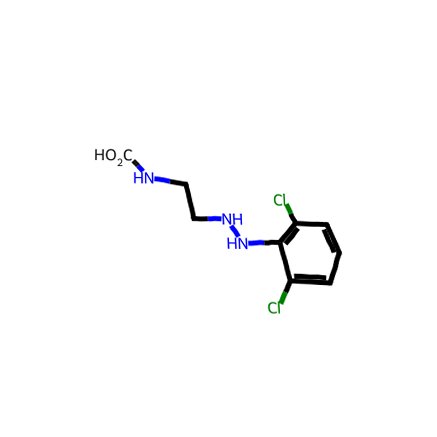 O=C(O)NCCNNc1c(Cl)cccc1Cl